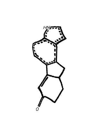 O=C1C=C2c3ccc4[nH]ccc4c3CC2CC1